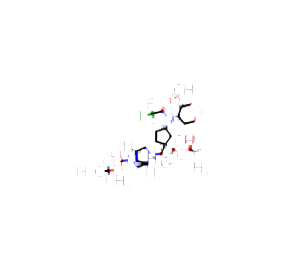 CO[C@@H]1COCC[C@@H]1N(C(=O)C(F)(F)F)[C@@H]1CC[C@@](C(=O)N2C[C@@H]3C[C@H]2CN3C(=O)OC(C)(C)C)(C(C)(C)OC(C)=O)C1